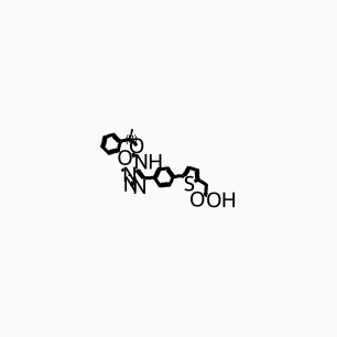 C[C@@H](OC(=O)Nc1c(-c2ccc(-c3ccc(CC(=O)O)s3)cc2)nnn1C)c1ccccc1